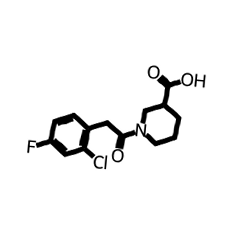 O=C(O)C1CCCN(C(=O)Cc2ccc(F)cc2Cl)C1